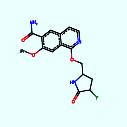 CC(C)Oc1cc2c(OCC3CC(F)C(=O)N3)nccc2cc1C(N)=O